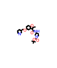 Cc1oc2ccc(OCc3cccnc3)cc2c1C(=O)N[C@H]1CCN(C(=O)OC(C)(C)C)C1